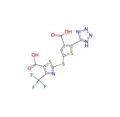 O=C(O)c1cc(Sc2nc(C(F)(F)F)c(C(=O)O)s2)sc1-c1nnn[nH]1